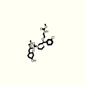 CNC[C@H](CC1CCC(O)CC1)NC(=O)N1CCC[C@@H]([C@@H](OCCNC(=O)OC)c2cccc(Cl)c2)C1